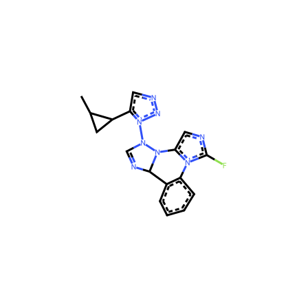 CC1CC1c1cnnn1N1C=NC2c3ccccc3-n3c(cnc3F)N21